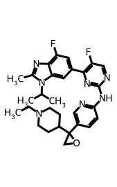 CCN1CCC(C2(c3ccc(Nc4ncc(F)c(-c5cc(F)c6nc(C)n(C(C)C)c6c5)n4)nc3)CO2)CC1